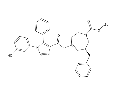 CC(C)(C)OC(=O)N1CCC(CC(=O)c2nnn(-c3cccc(O)c3)c2-c2ccccc2)=C[C@H](Cc2ccccc2)C1